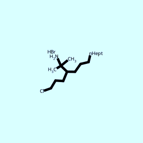 Br.CCCCCCCCCCC(CCCCl)C(C)(C)N